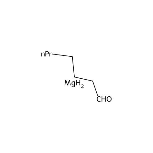 CCCCCCC=O.[MgH2]